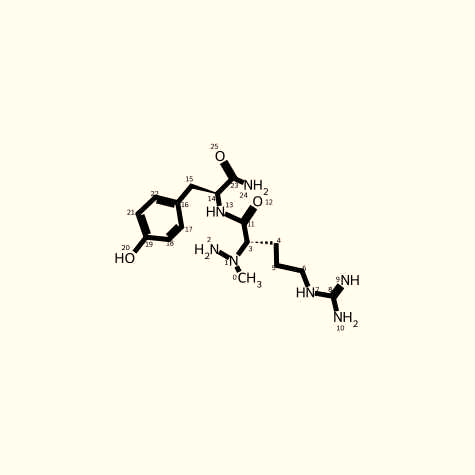 CN(N)[C@@H](CCCNC(=N)N)C(=O)N[C@@H](Cc1ccc(O)cc1)C(N)=O